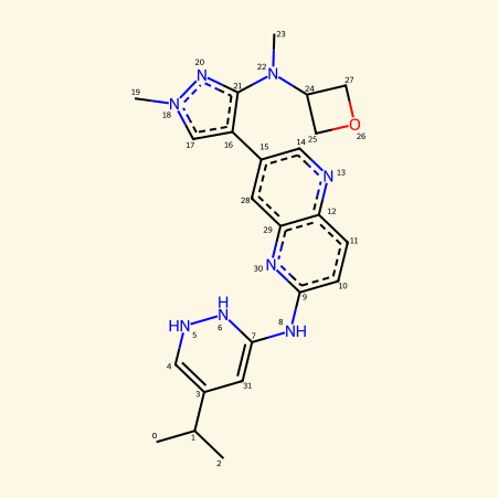 CC(C)C1=CNNC(Nc2ccc3ncc(-c4cn(C)nc4N(C)C4COC4)cc3n2)=C1